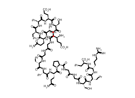 CC(C)C[C@H](NC(=O)[C@H](CCCNC(=N)N)NC(=O)[C@H](CC(C)C)NC(=O)[C@H](CO)NC(=O)CNC(=O)CNC(=O)[C@@H]1CCCN1C(=O)[C@H](CCC(N)=O)NC(=O)[C@@H](NC(=O)[C@H](CC(C)C)NC(=O)CNC(=O)CNC(=O)CNC(=O)[C@H](CO)NC(=O)[C@H](CCC(=O)O)NC(=O)[C@@H](NC(=O)[C@H](CC(C)C)NC(=O)[C@H](CCC(N)=O)NC(=O)[C@@H](NC(=O)[C@@H](N)CCC(=O)O)C(C)C)C(C)C)C(C)C)C(=O)O